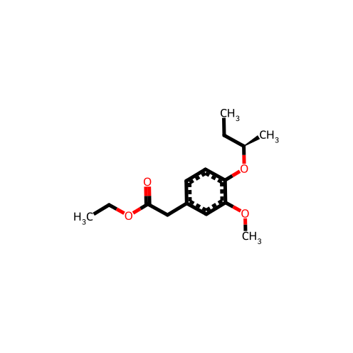 CCOC(=O)Cc1ccc(O[C@H](C)CC)c(OC)c1